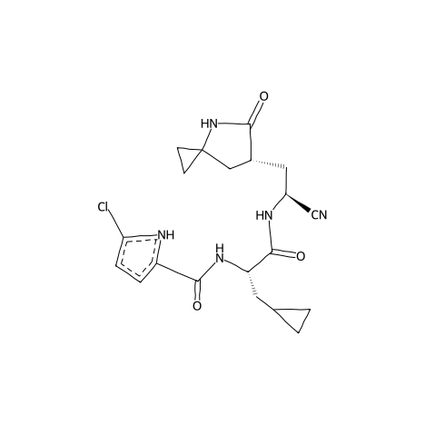 N#C[C@H](C[C@@H]1CC2(CC2)NC1=O)NC(=O)[C@H](CC1CC1)NC(=O)c1ccc(Cl)[nH]1